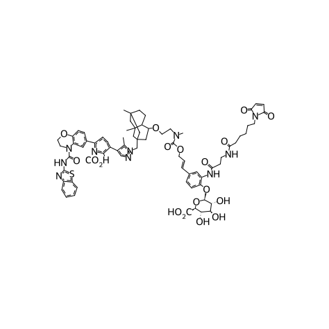 Cc1c(-c2ccc(-c3ccc4c(c3)N(C(=O)Nc3nc5ccccc5s3)CCO4)nc2C(=O)O)cnn1CC12CC(OCCN(C)C(=O)OC/C=C/c3ccc(O[C@@H]4O[C@H](C(=O)O)[C@@H](O)[C@H](O)[C@H]4O)c(NC(=O)CCNC(=O)CCCCCN4C(=O)C=CC4=O)c3)C3CCC(C)(C1)CC3(C)C2